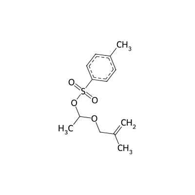 C=C(C)COC(C)OS(=O)(=O)c1ccc(C)cc1